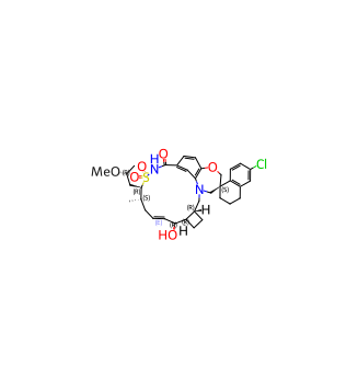 CO[C@H](C)C[C@@H]1[C@@H](C)C/C=C/[C@H](O)[C@@H]2CC[C@H]2CN2C[C@@]3(CCCc4cc(Cl)ccc43)COc3ccc(cc32)C(=O)NS1(=O)=O